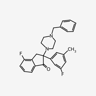 Cc1cc(F)cc(C2(N3CCN(Cc4ccccc4)CC3)Cc3c(F)cccc3C2=O)c1